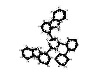 c1ccc(-c2ccccc2-c2nc(-c3cccc4c3oc3ccccc34)nc(-c3cccc4c3sc3ccccc34)n2)cc1